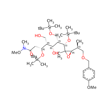 COc1ccc(COC[C@H](C)[C@H]2OC2(C)[C@@H](O[Si](C)(C)C(C)(C)C)[C@@H](CO[Si](C)(C)C(C)(C)C)[C@H](O)[C@@H](CO)[C@@H](CC(=O)N(C)OC)O[Si](C)(C)C(C)(C)C)cc1